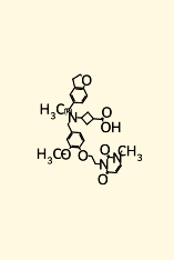 COc1cc(CN(C2CC(C(=O)O)C2)[C@H](C)c2ccc3c(c2)CCO3)ccc1OCCn1c(=O)ccn(C)c1=O